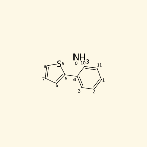 N.c1ccc(-c2cccs2)cc1